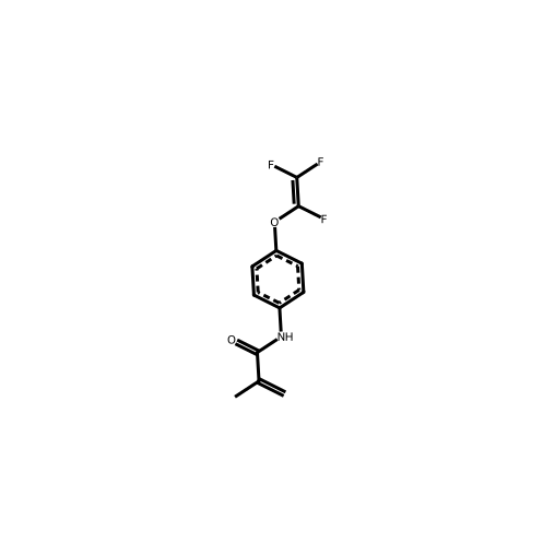 C=C(C)C(=O)Nc1ccc(OC(F)=C(F)F)cc1